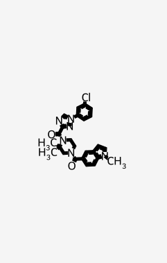 Cn1ccc2cc(C(=O)N3CCN(C(=O)c4ncn(-c5cccc(Cl)c5)n4)C(C)(C)C3)ccc21